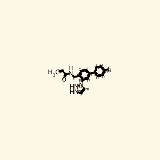 C=CC(=O)NCc1ccc(-c2ccc(F)cc2)cc1N1C=CNN1